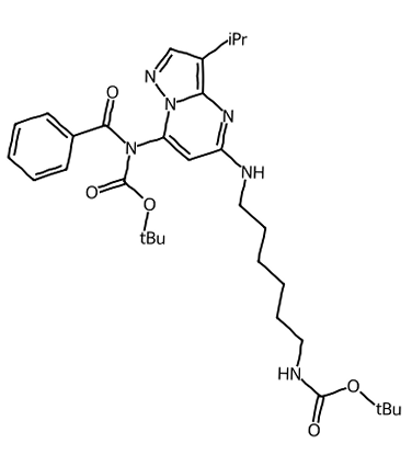 CC(C)c1cnn2c(N(C(=O)OC(C)(C)C)C(=O)c3ccccc3)cc(NCCCCCCNC(=O)OC(C)(C)C)nc12